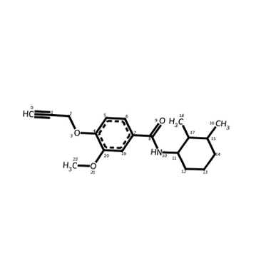 C#CCOc1ccc(C(=O)NC2CCCC(C)C2C)cc1OC